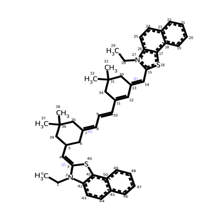 CCN1/C(=C/C2C/C(=C/C=CC3=C/C(=C/c4sc5c6ccccc6ccc5[n+]4CC)CC(C)(C)C3)CC(C)(C)C2)Sc2c1ccc1ccccc21